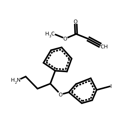 C#CC(=O)OC.NCCC(Oc1ccc(I)cc1)c1ccccc1